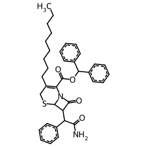 CCCCCCCCCC1=C(C(=O)OC(c2ccccc2)c2ccccc2)N2C(=O)C(C(C(N)=O)c3ccccc3)C2SC1